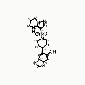 Cc1cc2ncnn2cc1C1CCN(S(=O)(=O)c2cnn3c2NCCC3)CC1